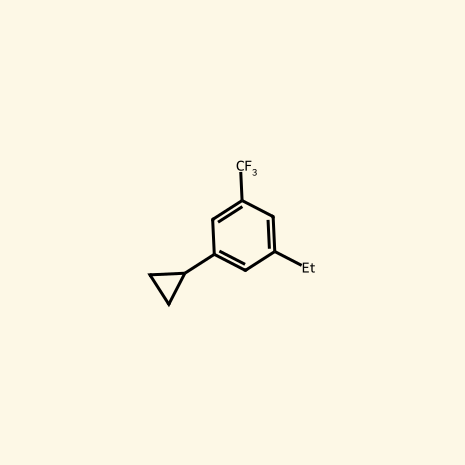 CCc1cc(C2CC2)cc(C(F)(F)F)c1